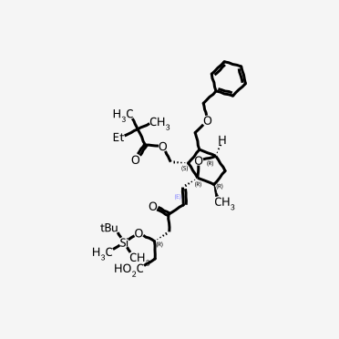 CCC(C)(C)C(=O)OC[C@@H]1C(COCc2ccccc2)[C@H]2C[C@@H](C)[C@]1(/C=C/C(=O)C[C@H](CC(=O)O)O[Si](C)(C)C(C)(C)C)O2